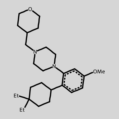 CCC1(CC)CCC(c2ccc(OC)cc2N2CCN(CC3CCOCC3)CC2)CC1